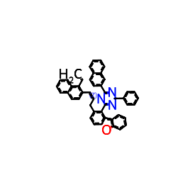 C=Cc1c(/C=C\Cc2ccc3oc4ccccc4c3c2-c2nc(-c3ccccc3)nc(-c3ccc4ccccc4c3)n2)ccc2ccccc12